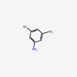 [CH2]c1cc(N)cc(C#N)c1